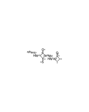 CCCCCNC1C(=O)N(NNN2CCC2=O)C1=S